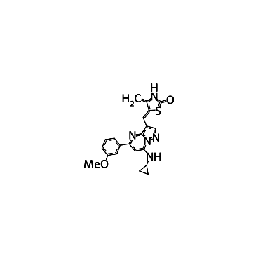 C=c1[nH]c(=O)s/c1=C\c1cnn2c(NC3CC3)cc(-c3cccc(OC)c3)nc12